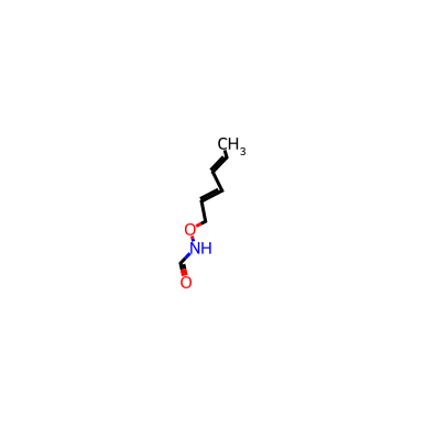 CC=CC=CCONC=O